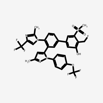 Cc1cc(-c2cc(-c3cc(O)c(CF)c(S(C)(=O)=O)c3)ccc2-n2cc(C(F)(F)F)nc2C)n(-c2ccc(OC(F)(F)F)cc2)n1